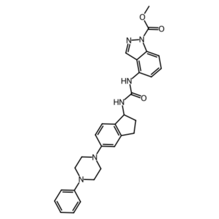 COC(=O)n1ncc2c(NC(=O)NC3CCc4cc(N5CCN(c6ccccc6)CC5)ccc43)cccc21